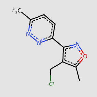 Cc1onc(-c2ccc(C(F)(F)F)nn2)c1CCl